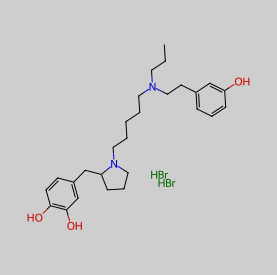 Br.Br.CCCN(CCCCCN1CCCC1Cc1ccc(O)c(O)c1)CCc1cccc(O)c1